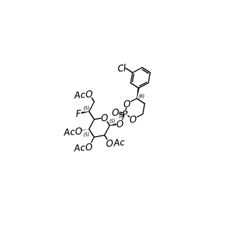 CC(=O)OC[C@H](F)C1O[C@@H](O[P@]2(=O)OCC[C@H](c3cccc(Cl)c3)O2)C(OC(C)=O)C(OC(C)=O)[C@@H]1OC(C)=O